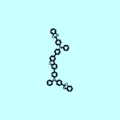 c1ccc(N(c2ccc(-c3ccc4c(c3)sc3ccc(-c5ccc(N(c6ccccc6)c6ccc(-c7nc8ccccc8o7)cc6)cc5)cc34)cc2)c2ccc(-c3nc4ccccc4o3)cc2)cc1